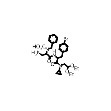 CCOC(CN(C(=O)C(Cc1ccc(Br)cc1)NC(=O)C(CN)N(Cc1ccccc1)C(=O)O)C1CC1)OCC